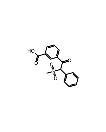 CS(=O)(=O)C(C(=O)c1cccc(C(=O)O)c1)c1ccccc1